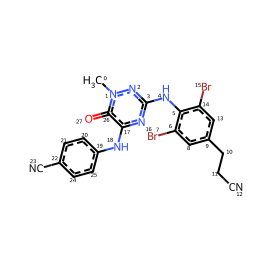 Cn1nc(Nc2c(Br)cc(CCC#N)cc2Br)nc(Nc2ccc(C#N)cc2)c1=O